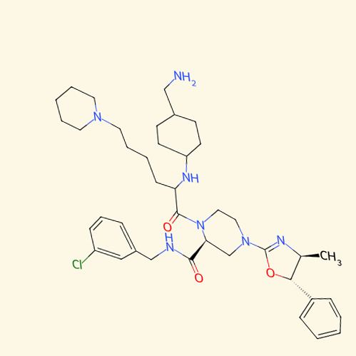 C[C@@H]1N=C(N2CCN(C(=O)C(CCCCN3CCCCC3)NC3CCC(CN)CC3)[C@H](C(=O)NCc3cccc(Cl)c3)C2)O[C@H]1c1ccccc1